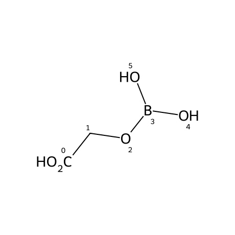 O=C(O)COB(O)O